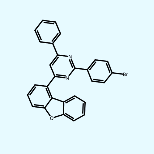 Brc1ccc(-c2nc(-c3ccccc3)cc(-c3cccc4oc5ccccc5c34)n2)cc1